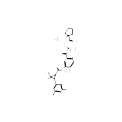 CC1(C(=O)ONC(=O)c2cc(NC(=O)C3C(c4cc(Cl)cc(Cl)c4)C3(Cl)Cl)ccc2Cl)CCCC1